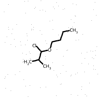 [CH2]C(C)C(Cl)OCCCC